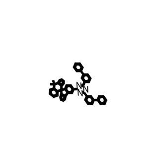 CC1(C)c2ccccc2C2(c3ccccc3-c3cc(-c4nc(-c5cccc(-c6ccccc6)c5)nc(-c5cccc(-c6ccccc6)c5)n4)ccc32)c2ccccc21